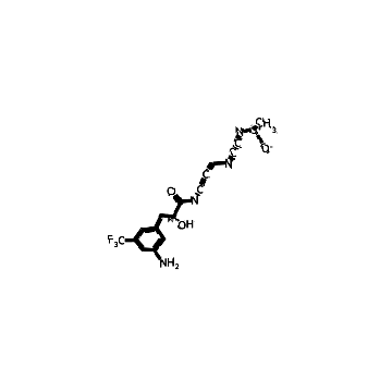 C[S+]([O-])N=C=C=NC=C=C=NC(=O)[C@H](O)Cc1cc(N)cc(C(F)(F)F)c1